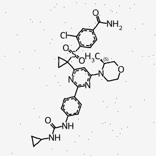 C[C@H]1COCCN1c1cc(C2(S(=O)(=O)c3ccc(C(N)=O)cc3Cl)CC2)nc(-c2ccc(NC(=O)NC3CC3)cc2)n1